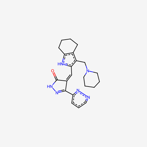 O=C1NN=C(c2cccnn2)C1=Cc1[nH]c2c(c1CN1CCCCC1)CCCC2